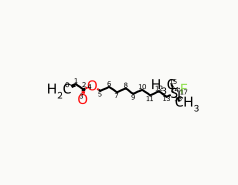 C=CC(=O)OCCCCCCCCC[Si](C)(C)F